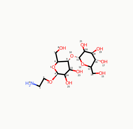 NCCO[C@H]1OC(CO)[C@H](O[C@H]2OC(CO)[C@@H](O)[C@H](O)C2O)C(O)C1O